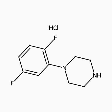 Cl.Fc1ccc(F)c(N2CCNCC2)c1